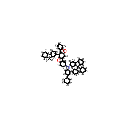 CC1(C)c2ccccc2-c2ccc(-c3c4oc5ccc(N(c6ccc(-c7ccccc7)cc6)c6ccc7c(c6)C(c6ccccc6)(c6ccccc6)c6ccccc6-7)cc5c4cc4oc5ccccc5c34)cc21